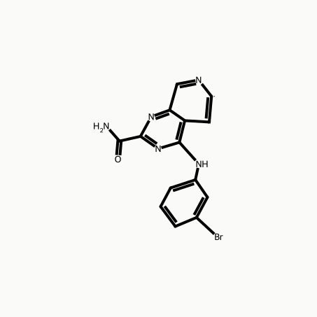 NC(=O)c1nc(Nc2cccc(Br)c2)c2c[c]ncc2n1